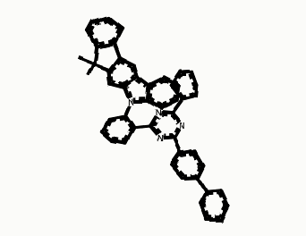 CC1(C)c2ccccc2-c2cc3c4ccccc4n(-c4ccccc4-c4nc(-c5ccccc5)nc(-c5ccc(-c6ccccc6)cc5)n4)c3cc21